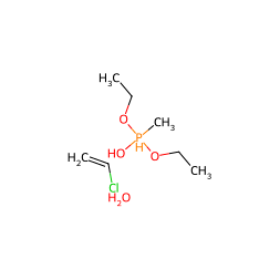 C=CCl.CCO[PH](C)(O)OCC.O